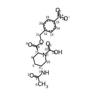 CC(=O)N[C@@H]1CC[C@@H](C(=O)OCc2ccc([N+](=O)[O-])cc2)N(C(=O)O)C1